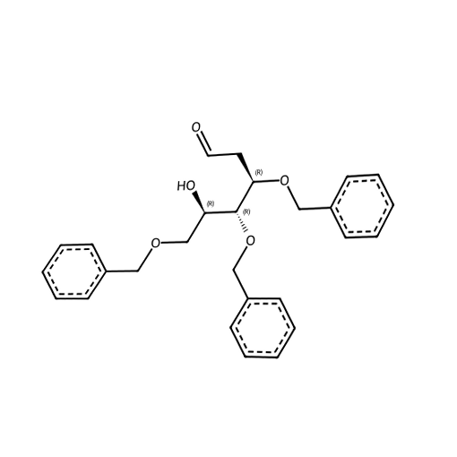 O=CC[C@@H](OCc1ccccc1)[C@H](OCc1ccccc1)[C@H](O)COCc1ccccc1